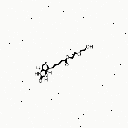 O=C1N[C@H]2[C@H](CS[C@H]2CCCCC(=O)OCCOCCO)N1